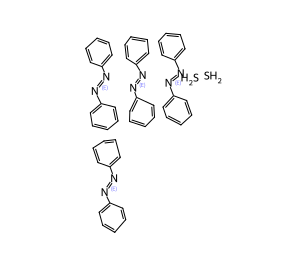 S.S.c1ccc(/N=N/c2ccccc2)cc1.c1ccc(/N=N/c2ccccc2)cc1.c1ccc(/N=N/c2ccccc2)cc1.c1ccc(/N=N/c2ccccc2)cc1